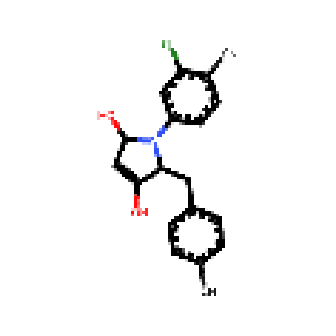 N#Cc1ccc(CC2C(O)=CC(O)N2c2ccc(C#N)c(Cl)c2)cc1